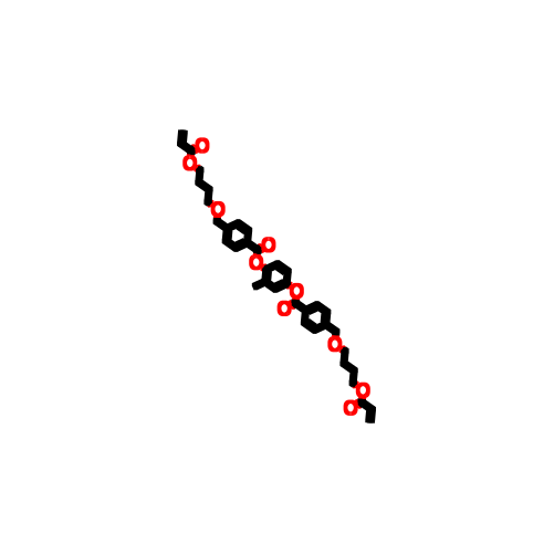 C=CC(=O)OCCCCOCc1ccc(C(=O)Oc2ccc(OC(=O)c3ccc(COCCCCOC(=O)C=C)cc3)c(C)c2)cc1